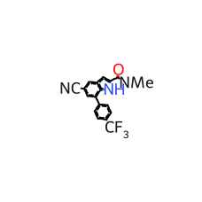 CNC(=O)c1cc2cc(C#N)cc(-c3ccc(C(F)(F)F)cc3)c2[nH]1